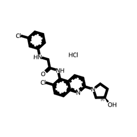 Cl.O=C(CNc1cccc(Cl)c1)Nc1c(Cl)ccc2nc(N3CC[C@@H](O)C3)ccc12